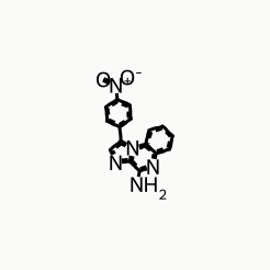 Nc1nc2ccccc2n2c(-c3ccc([N+](=O)[O-])cc3)cnc12